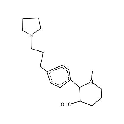 CN1CCCC(C=O)C1c1ccc(CCCN2CCCC2)cc1